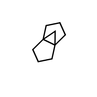 C1CC23CCCC2(C1)C3